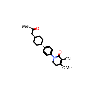 COC(=O)C[C@H]1CC[C@H](c2ccc(N3CCC(OC)=C(C#N)C3=O)cc2)CC1